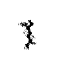 Cc1c(COc2cc(OCc3cncc(C=N)c3)c(CO)cc2Cl)cccc1-c1cccc(COc2cc(OCc3cncc(C4=NC4)c3)c(CN[C@@H](CCO)C(=O)O)cc2Cl)c1C